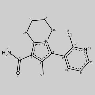 Cc1c(C(N)=O)c2n(c1-c1cccnc1Cl)CCCC2